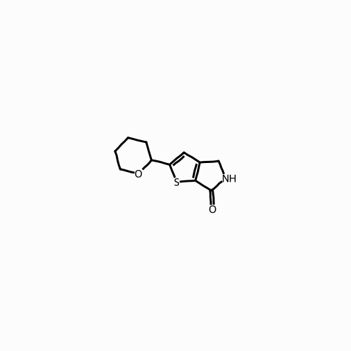 O=C1NCc2cc(C3CCCCO3)sc21